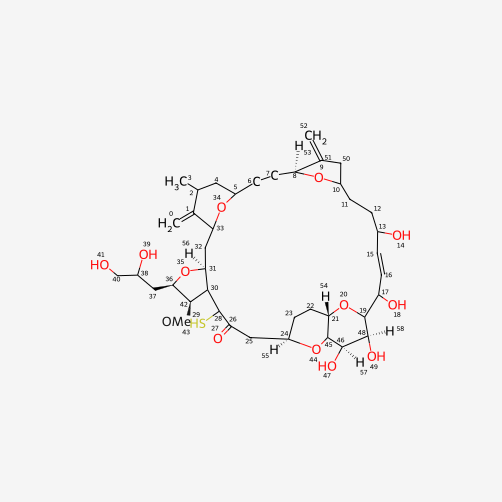 C=C1C(C)CC2CC[C@@H]3OC(CCC(O)/C=C/C(O)C4O[C@H]5CC[C@H](CC(=O)C(S)C6[C@H](CC1O2)O[C@H](CC(O)CO)[C@@H]6OC)OC5[C@H](O)[C@@H]4O)CC3=C